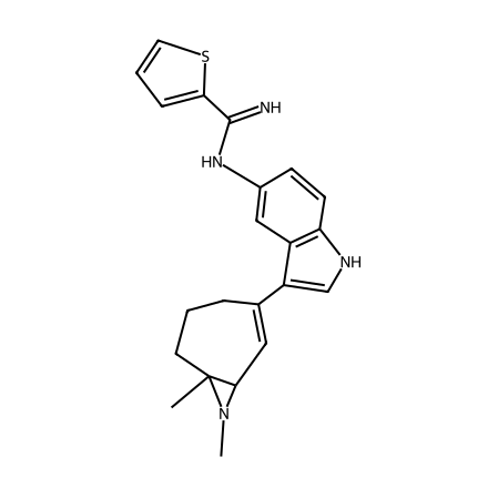 CN1C2C=C(c3c[nH]c4ccc(NC(=N)c5cccs5)cc34)CCCC21C